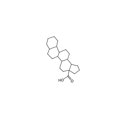 O=C(O)C12CCCC1C1CCC3C4CCCCC4CCC3C1CC2